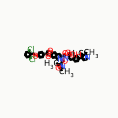 Cc1nc(C(=O)N2Cc3cc4c(cc3C[C@H]2C(=O)NC(Cc2ccc(-c3ccnc(C)c3C)cc2)C(=O)O)OC[C@H](c2ccc(OCc3c(Cl)cccc3Cl)cc2)O4)c(C)o1